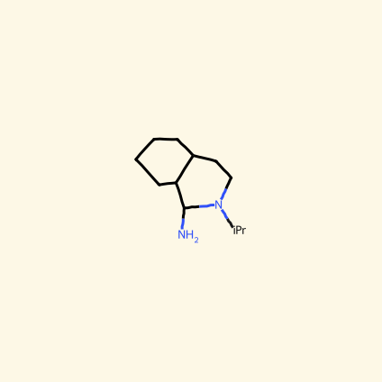 CC(C)N1CCC2CCCCC2C1N